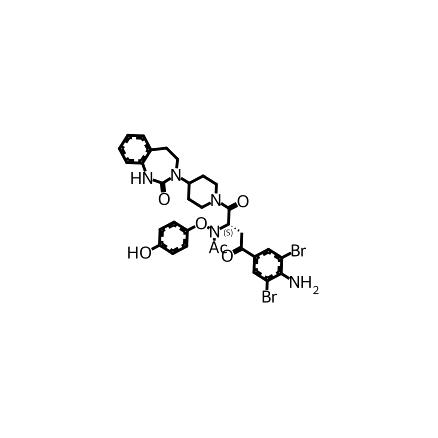 CC(=O)N(Oc1ccc(O)cc1)[C@@H](CC(=O)c1cc(Br)c(N)c(Br)c1)C(=O)N1CCC(N2CCc3ccccc3NC2=O)CC1